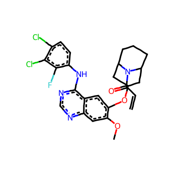 C=CC(=O)N1C2CCCC1CC(Oc1cc3c(Nc4ccc(Cl)c(Cl)c4F)ncnc3cc1OC)C2